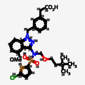 COc1cccc2c1c(N(COCC[Si](C)(C)C)S(=O)(=O)c1ccc(Cl)s1)nn2Cc1cccc(CC(=O)O)c1